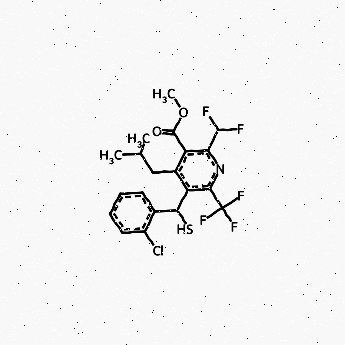 COC(=O)c1c(C(F)F)nc(C(F)(F)F)c(C(S)c2ccccc2Cl)c1CC(C)C